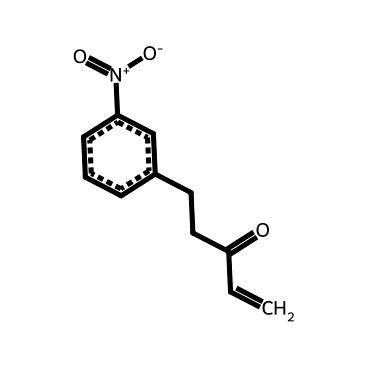 C=CC(=O)CCc1cccc([N+](=O)[O-])c1